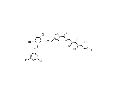 CC[C@@H](O)[C@@H](O)[C@@H](O)[C@@H](O)COC(=O)c1ccc(CCC[C@@H]2[C@@H](CCc3cc(Cl)cc(Cl)c3)[C@H](O)C[C@H]2Cl)s1